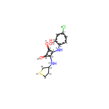 O=c1c(Nc2ccc(Cl)cc2O)c(NC2CCSC2)c1=O